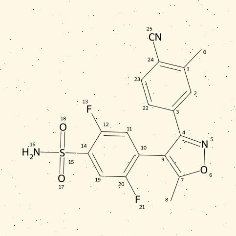 Cc1cc(-c2noc(C)c2-c2cc(F)c(S(N)(=O)=O)cc2F)ccc1C#N